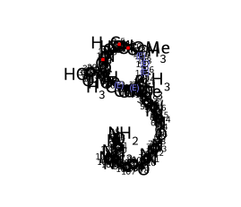 CO[C@H]1C[C@@H]2CC[C@@H](C)[C@@](O)(O2)C(=O)C(=O)N2CCCC[C@H]2C(=O)O[C@H]([C@H](N)C[C@@H]2CC[C@@H](O)[C@H](OC)C2)C[C@@H](O)[C@H](C)/C=C(\C)[C@@H](O)[C@@H](OC)/C(=N/OCC(=O)N2CCc3nc(N4CCN(CCOCCN5CCN(c6ncc(C(=O)N7CCc8cc(Cn9nc(-c%10ccc%11oc(N)nc%11c%10)c%10c(N)ncnc%109)ccc8C7)cn6)CC5)CC4)ncc3C2)[C@H](C)C[C@H](C)/C=C/C=C/C=C/1C